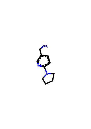 NCc1ccc(N2CCCC2)nc1